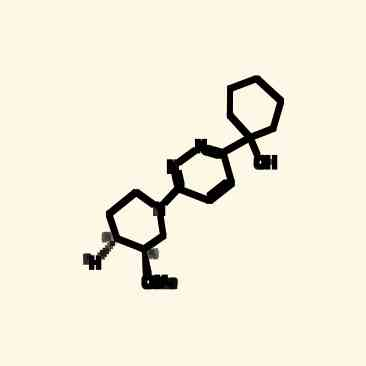 [2H][C@@H]1CCN(c2ccc(C3(O)CCCCC3)nn2)C[C@H]1OC